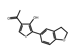 CC(=O)c1csc(-c2ccc3c(c2)CCO3)c1O